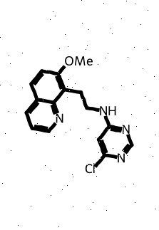 COc1ccc2cccnc2c1CCNc1cc(Cl)ncn1